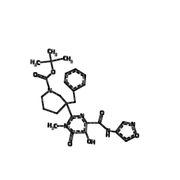 Cn1c(C2(Cc3ccccc3)CCCN(C(=O)OC(C)(C)C)C2)nc(C(=O)Nc2cnoc2)c(O)c1=O